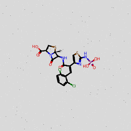 O=C(NC1C(=O)N2C(C(=O)O)CS[C@H]12)/C(=C\c1c(Cl)cccc1Cl)c1csc(NP(=O)(O)O)n1